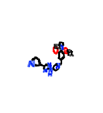 CCOc1cc(CN2CCC(Nc3ncc(-c4cccnc4)cn3)CC2)cc(OCC)c1-n1cccc1